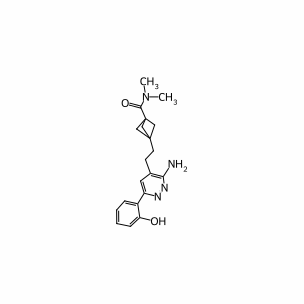 CN(C)C(=O)C12CC(CCc3cc(-c4ccccc4O)nnc3N)(C1)C2